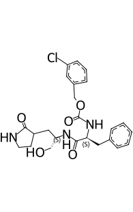 O=C(N[C@@H](Cc1ccccc1)C(=O)N[C@H](CO)CC1CCNC1=O)OCc1cccc(Cl)c1